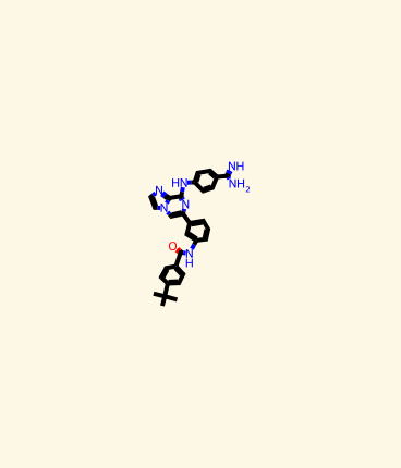 CC(C)(C)c1ccc(C(=O)Nc2cccc(-c3cn4ccnc4c(Nc4ccc(C(=N)N)cc4)n3)c2)cc1